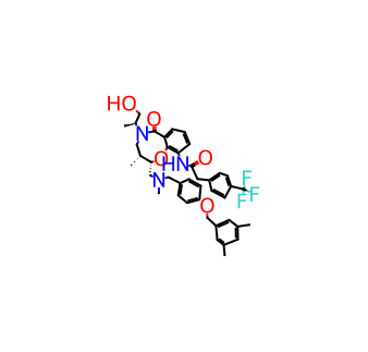 Cc1cc(C)cc(COc2ccc(CN(C)C[C@H]3Oc4c(NC(=O)Cc5ccc(C(F)(F)F)cc5)cccc4C(=O)N([C@@H](C)CO)C[C@H]3C)cc2)c1